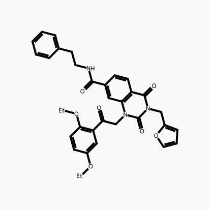 CCOc1ccc(OCC)c(C(=O)Cn2c(=O)n(Cc3ccco3)c(=O)c3ccc(C(=O)NCCc4ccccc4)cc32)c1